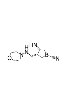 N#CB1CC(=N)/C(=C\NN2CCOCC2)C1